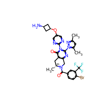 Cc1cc(C)n(-c2nc3c(c(=O)n2-c2ncc(O[C@H]4C[C@@H](N)C4)cn2)C[C@@H](C)N(C(=O)c2ccc(Br)c(C(F)(F)F)c2)C3)n1